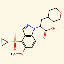 COc1ccc2c(cnn2C(CC2CCOCC2)C(=O)O)c1S(=O)(=O)C1CC1